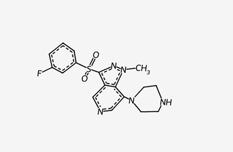 Cn1nc(S(=O)(=O)c2cccc(F)c2)c2cncc(N3CCNCC3)c21